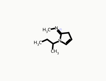 CCC(C)N1C=CC/C1=N/C